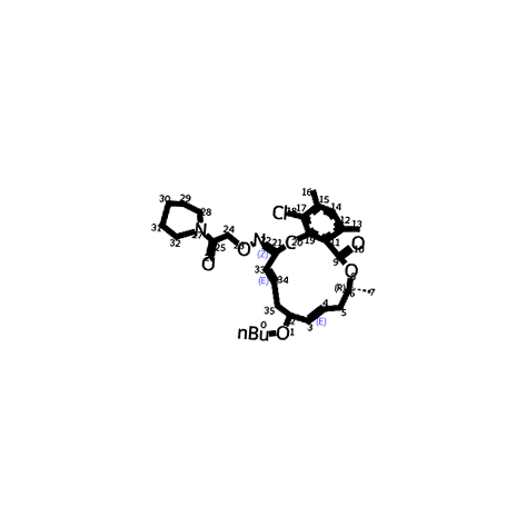 CCCCOC1/C=C/C[C@@H](C)OC(=O)c2c(C)cc(C)c(Cl)c2CC(=N/OCC(=O)N2CCCCC2)/C=C/C1